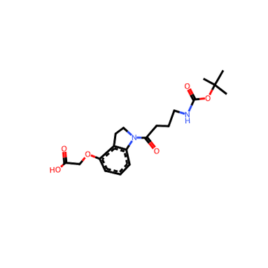 CC(C)(C)OC(=O)NCCCC(=O)N1CCc2c(OCC(=O)O)cccc21